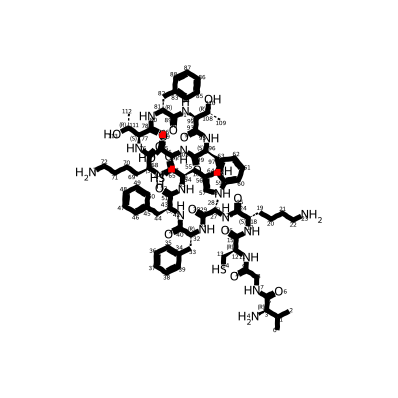 CC(C)[C@@H](N)C(=O)NCC(=O)N[C@@H](CS)C(=O)N[C@@H](CCCCN)C(=O)N[C@@H](C)C(=O)N[C@H](Cc1ccccc1)C(=O)N[C@@H](Cc1ccccc1)C(=O)N[C@H](Cc1c[nH]c2ccccc12)C(=O)N[C@@H](CCCCN)C(=O)N[C@H](C(=O)N[C@H](Cc1ccccc1)C(=O)N[C@H](C(=O)N[C@@H](CO)C(=O)N[C@@H](CS)C(=O)O)[C@@H](C)O)[C@@H](C)O